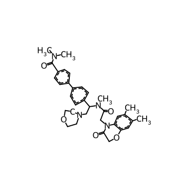 Cc1cc2c(cc1C)N(CC(=O)N(C)C(CN1CCOCC1)c1ccc(-c3ccc(C(=O)N(C)C)cc3)cc1)C(=O)CO2